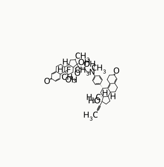 CC#C[C@]1(O)CC[C@H]2[C@@H]3CCC4=CC(=O)CCC4=C3[C@@H](c3ccc(N(C)CC(O)C(=O)[C@@]4(O)[C@H](C)C[C@H]5[C@@H]6CCC7=CC(=O)C=C[C@]7(C)[C@@]6(F)[C@@H](O)C[C@@]54C)cc3)C[C@@]21C